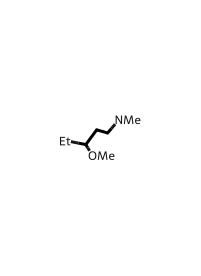 CCC(CCNC)OC